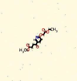 CCOC(=O)COc1ccc(C(=O)CCC(=O)OC)cn1